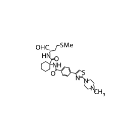 CSCC[C@@H](C=O)NC(=O)C1(NC(=O)c2ccc(-c3csc(N4CCN(C)CC4)n3)cc2)CCCCC1